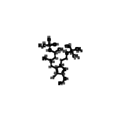 CC(C)Oc1nn(CCO[Si](C)(C)C(C)(C)C)c(CN(CC(C)OS(C)(=O)=O)C(C)C)c1I